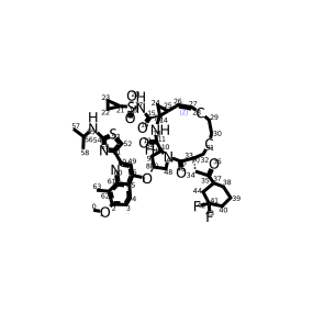 COc1ccc2c(O[C@@H]3C[C@H]4C(=O)N[C@]5(C(=O)NS(=O)(=O)C6CC6)CC5/C=C\CCCCC[C@H](CC(=O)C5CCCC(F)(F)C5)C(=O)N4C3)cc(-c3csc(NC(C)C)n3)nc2c1C